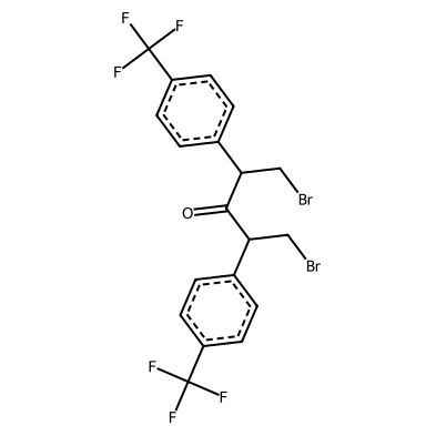 O=C(C(CBr)c1ccc(C(F)(F)F)cc1)C(CBr)c1ccc(C(F)(F)F)cc1